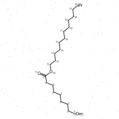 CCCCCCCCCCCCCCCCCC(=O)OCCCCCCCCCCCC(C)C